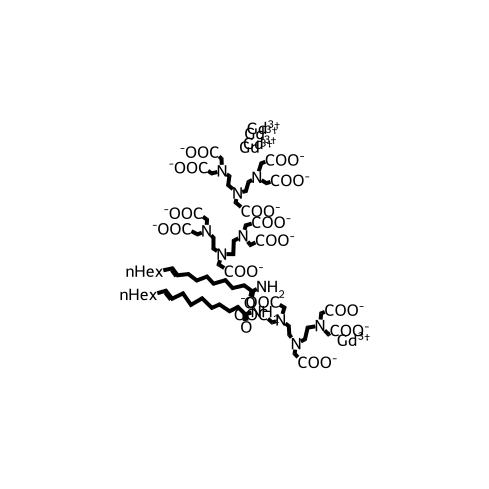 CCCCCC/C=C/CCCCCCCC(N)=O.CCCCCC/C=C/CCCCCCCC(N)=O.O=C([O-])CN(CCN(CC(=O)[O-])CC(=O)[O-])CCN(CC(=O)[O-])CC(=O)[O-].O=C([O-])CN(CCN(CC(=O)[O-])CC(=O)[O-])CCN(CC(=O)[O-])CC(=O)[O-].O=C([O-])CN(CCN(CC(=O)[O-])CC(=O)[O-])CCN(CC(=O)[O-])CC(=O)[O-].[Gd+3].[Gd+3].[Gd+3].[Gd+3].[Gd+3]